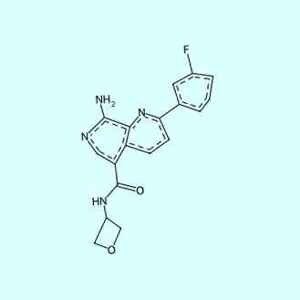 Nc1ncc(C(=O)NC2COC2)c2ccc(-c3cccc(F)c3)nc12